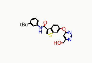 CC(C)(C)c1cccc(NC(=O)c2csc3cc(Oc4cc(CO)ncn4)ccc23)c1